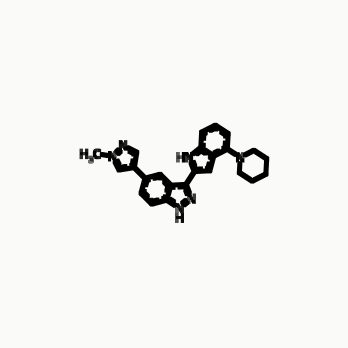 Cn1cc(-c2ccc3[nH]nc(-c4cc5c(N6CCCCC6)cccc5[nH]4)c3c2)cn1